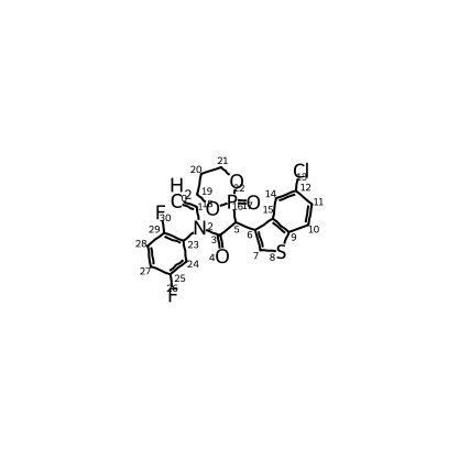 C=CN(C(=O)C(c1csc2ccc(Cl)cc12)P1(=O)OCCCO1)c1cc(F)ccc1F